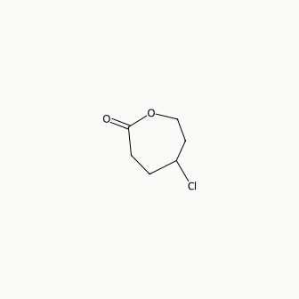 O=C1CCC(Cl)CCO1